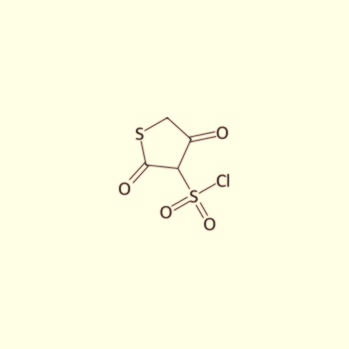 O=C1CSC(=O)C1S(=O)(=O)Cl